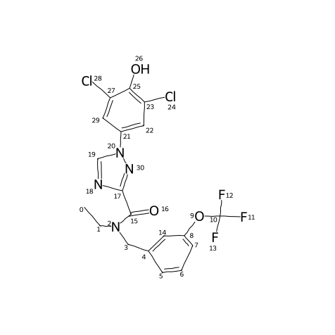 CCN(Cc1cccc(OC(F)(F)F)c1)C(=O)c1ncn(-c2cc(Cl)c(O)c(Cl)c2)n1